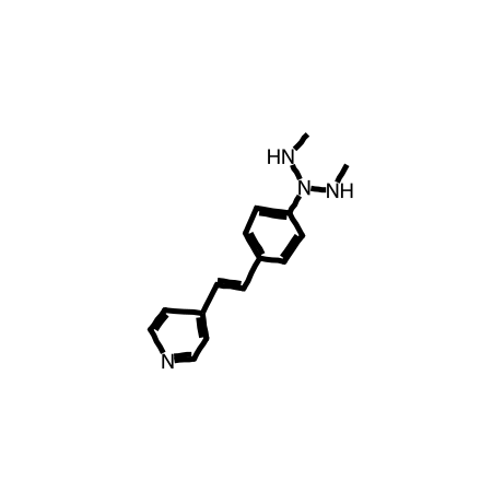 CNN(NC)c1ccc(/C=C/c2ccncc2)cc1